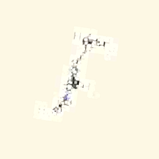 CCC(C)(C)C(=O)OCCCCCCOc1ccc(C(=O)Oc2ccc(/C=C/C(=O)OCCOC)cc2OC)cc1